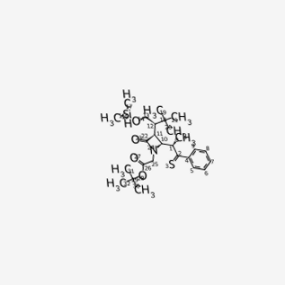 C[C@@H](C(=S)c1ccccc1)[C@@H]1[C@H]([C@@H](CO[SiH](C)C)C(C)(C)C)C(=O)N1CC(=O)OC(C)(C)C